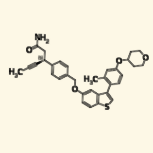 CC#C[C@@H](CC(N)=O)c1ccc(COc2ccc3scc(-c4ccc(OC5CCOCC5)cc4C)c3c2)cc1